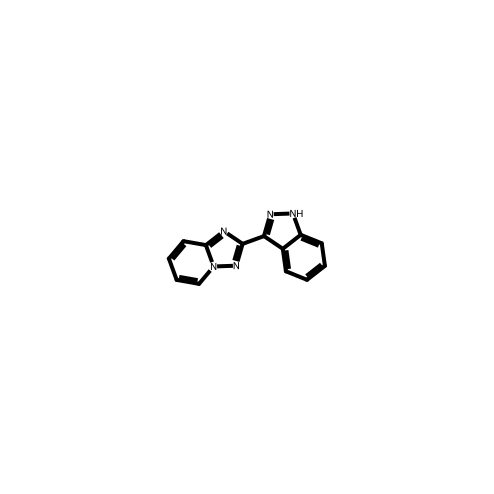 c1ccc2c(-c3nc4ccccn4n3)n[nH]c2c1